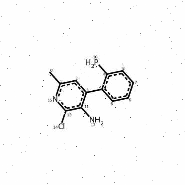 Cc1cc(-c2ccccc2P)c(N)c(Cl)n1